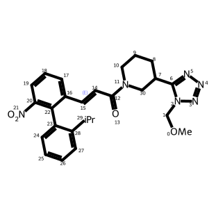 COCn1nnnc1C1CCCN(C(=O)/C=C/c2cc[c]c([N+](=O)[O-])c2-c2ccccc2C(C)C)C1